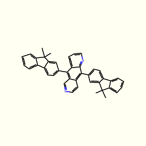 CC1(C)c2ccccc2-c2ccc(-c3c4cnccc4c(-c4ccc5c(c4)C(C)(C)c4ccccc4-5)c4ncccc34)cc21